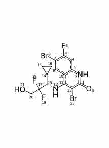 O=c1[nH]c2cc(F)c(Br)cc2c(N[C@@H](C2CC2)C(F)(F)CO)c1Br